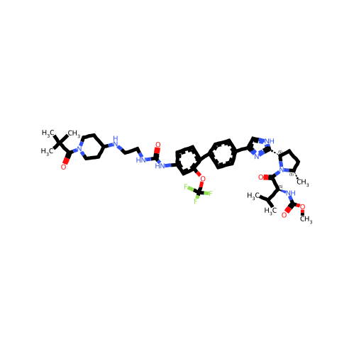 COC(=O)N[C@H](C(=O)N1[C@@H](C)CC[C@H]1c1nc(-c2ccc(-c3ccc(NC(=O)NCCNC4CCN(C(=O)C(C)(C)C)CC4)cc3OC(F)(F)F)cc2)c[nH]1)C(C)C